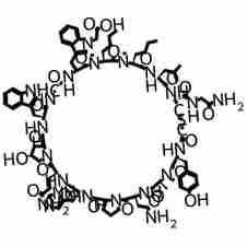 CCCC[C@H]1C(=O)N(C)[C@@H](CCCC)C(=O)N[C@@H](CC(C)C)C(=O)N[C@H](C(=O)NCC(N)=O)CSCC(=O)N[C@@H](Cc2ccc(O)cc2)C(=O)N(C)[C@@H](C)C(=O)N[C@@H](CC(N)=O)C(=O)N2CCC[C@H]2C(=O)N[C@@H](Cc2cnc[nH]2)C(=O)N[C@@H](CCC(N)=O)C(=O)N2C[C@H](O)C[C@H]2C(=O)N[C@@H](Cc2c[nH]c3ccccc23)C(=O)NCC(=O)NC(Cc2cn(CC(=O)O)c3ccccc23)C(=O)N1C